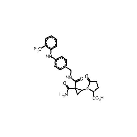 NC(=O)C1(C(=O)NCc2ccc(Nc3ccccc3C(F)(F)F)cc2)CC1N1C(=O)CCC1C(=O)O